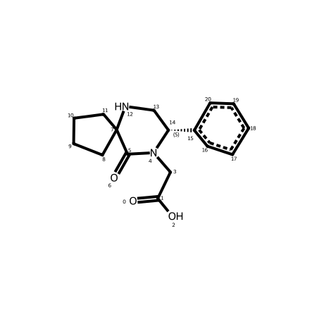 O=C(O)CN1C(=O)C2(CCCC2)NC[C@@H]1c1ccccc1